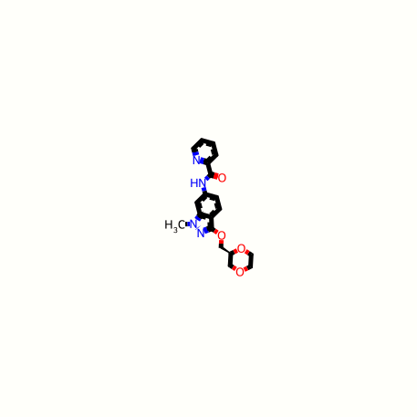 Cn1nc(OC[C@@H]2COCCO2)c2ccc(NC(=O)c3ccccn3)cc21